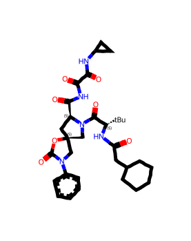 CC(C)(C)[C@H](NC(=O)CC1CCCCC1)C(=O)N1C[C@@]2(C[C@H]1C(=O)NC(=O)C(=O)NC1CC1)CN(c1ccccc1)C(=O)O2